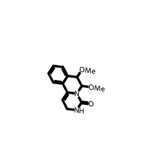 COC1c2ccccc2C2=CCNC(=O)N2C1OC